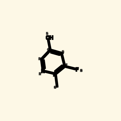 Cc1ncc(O)[c]c1F